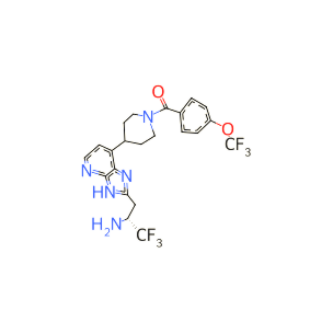 N[C@H](Cc1nc2c(C3CCN(C(=O)c4ccc(OC(F)(F)F)cc4)CC3)ccnc2[nH]1)C(F)(F)F